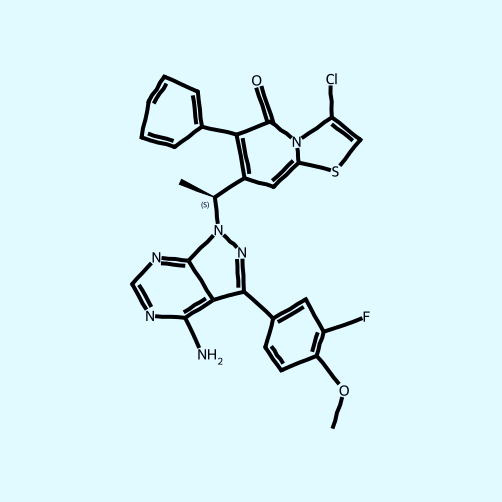 COc1ccc(-c2nn([C@@H](C)c3cc4scc(Cl)n4c(=O)c3-c3ccccc3)c3ncnc(N)c23)cc1F